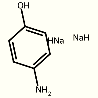 Nc1ccc(O)cc1.[NaH].[NaH]